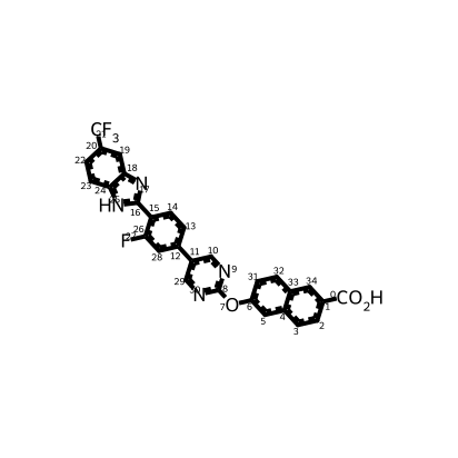 O=C(O)c1ccc2cc(Oc3ncc(-c4ccc(-c5nc6cc(C(F)(F)F)ccc6[nH]5)c(F)c4)cn3)ccc2c1